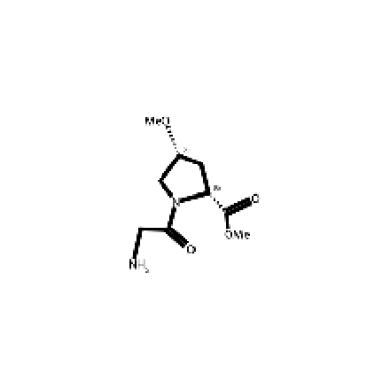 COC(=O)[C@H]1C[C@@H](OC)CN1C(=O)CN